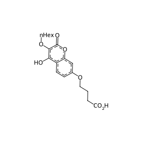 CCCCCCOc1c(O)c2ccc(OCCCC(=O)O)cc2oc1=O